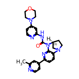 Cc1cc(-c2ccc3c(n2)N(C(=O)Nc2cc(N4CCOCC4)ccn2)[C@H]2CCN3C2)ccn1